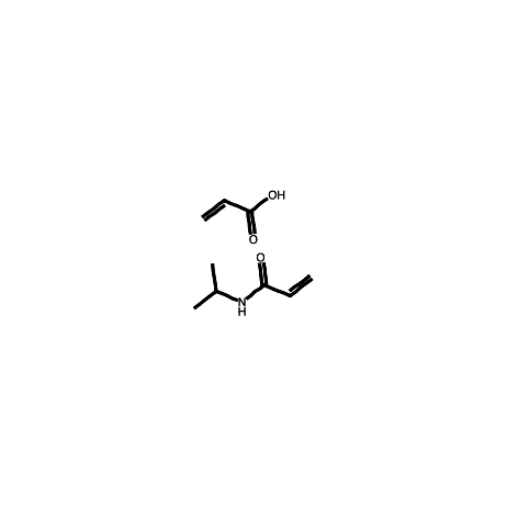 C=CC(=O)NC(C)C.C=CC(=O)O